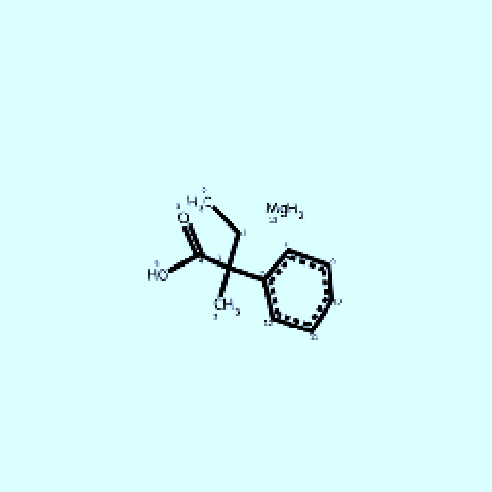 CCC(C)(C(=O)O)c1ccccc1.[MgH2]